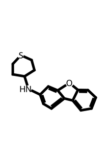 c1ccc2c(c1)oc1cc(NC3CCSCC3)ccc12